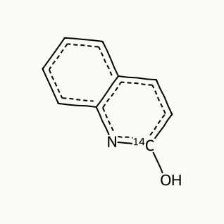 O[14c]1ccc2ccccc2n1